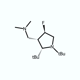 CN(C)C[C@H]1[C@@H](C(C)(C)C)N(C(C)(C)C)C[C@@H]1F